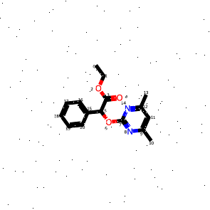 CCOC(=O)C(Oc1nc(C)cc(C)n1)c1ccccc1